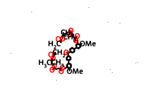 C=CC(=O)OCC(C)(C)COC(=O)CCC(=O)OCc1cc(-c2ccc(C(=O)c3ccc(-c4ccc(OC)c(COC(=O)CCC(=O)OCC(C)(C)COC(=O)C=C)c4)cc3)cc2)ccc1OC